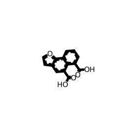 O=C(O)c1cccc2c1c(C(=O)O)cc1ccoc12